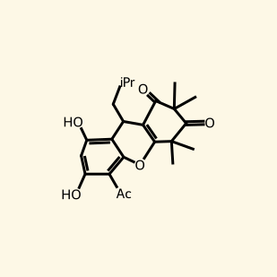 CC(=O)c1c(O)cc(O)c2c1OC1=C(C(=O)C(C)(C)C(=O)C1(C)C)C2CC(C)C